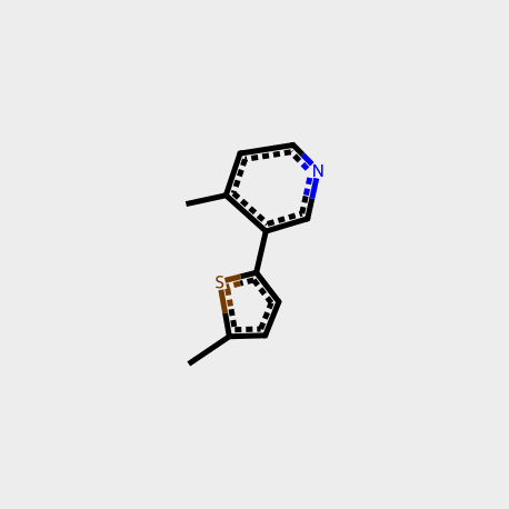 Cc1ccc(-c2cnccc2C)s1